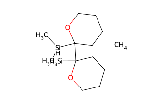 C.C[SiH](C)C1(C2([SiH3])CCCCO2)CCCCO1